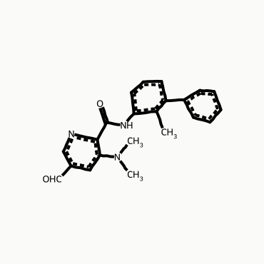 Cc1c(NC(=O)c2ncc(C=O)cc2N(C)C)cccc1-c1ccccc1